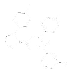 O=C(CN(c1ccc(Cl)cc1)S(=O)(=O)c1cccc(F)c1)N1CCCC1c1ccc(F)cc1